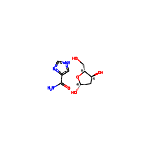 NC(=O)c1c[nH]cn1.OC[C@H]1O[C@@H](O)C[C@@H]1O